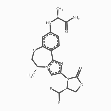 C[C@H](Nc1ccc2c(c1)OC[C@@H](C)n1cc(N3C(=O)OC[C@H]3C(F)F)nc1-2)C(N)=O